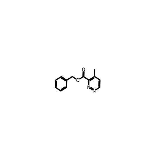 Cc1ccnnc1C(=O)OCc1ccccc1